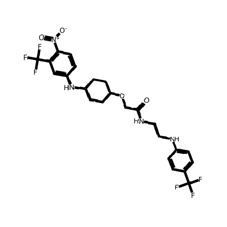 O=C(COC1CCC(Nc2ccc([N+](=O)[O-])c(C(F)(F)F)c2)CC1)NCCNc1ccc(C(F)(F)F)cc1